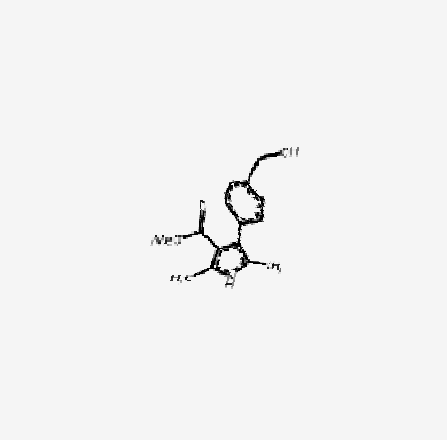 COC(=O)c1c(C)[nH]c(C)c1-c1ccc(CO)cc1